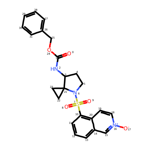 O=C(NC1CCN(S(=O)(=O)c2cccc3c[n+]([O-])ccc23)C12CC2)OCc1ccccc1